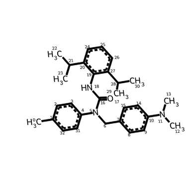 Cc1ccc(N(Cc2ccc(N(C)C)cc2)C(=O)Nc2c(C(C)C)cccc2C(C)C)cc1